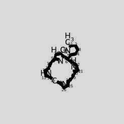 CC1C=CC=C(c2c3nc(cc4ccc(cc5nc(cc6ccc2[nH]6)C=C5)[nH]4)C=C3)N1C